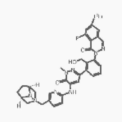 CN1[C@@H]2CC[C@H]1CN(Cc1ccc(Nc3cc(-c4cccc(-n5ncc6cc(C(C)(C)C)cc(F)c6c5=O)c4CO)nn(C)c3=O)nc1)C2